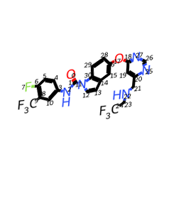 O=C(Nc1ccc(F)c(C(F)(F)F)c1)n1ccc2cc(Oc3cc(CNCC(F)(F)F)ncn3)ccc21